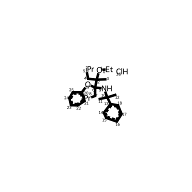 CCOC(C)(CC(C)C)C(CC(C)C)(NC(C)(C)c1ccccc1)Oc1ccccc1.Cl